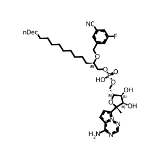 CCCCCCCCCCCCCCCCCCC[C@H](COP(=O)(O)OC[C@H]1O[C@@](C)(c2ccc3c(N)ncnn23)[C@H](O)[C@@H]1O)OCc1cc(F)cc(C#N)c1